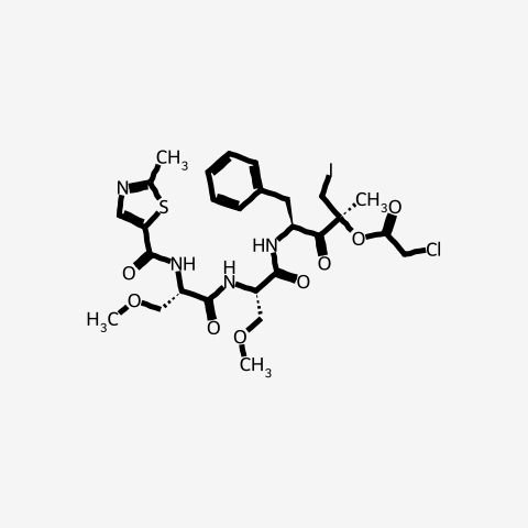 COC[C@H](NC(=O)c1cnc(C)s1)C(=O)N[C@@H](COC)C(=O)N[C@@H](Cc1ccccc1)C(=O)[C@@](C)(CI)OC(=O)CCl